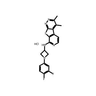 Cc1nnc2sc3c(NC4CN(c5ccc(F)c(F)c5)C4)nccc3c2c1C.Cl